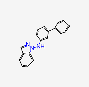 c1ccc(-c2cccc(Nn3ncc4ccccc43)c2)cc1